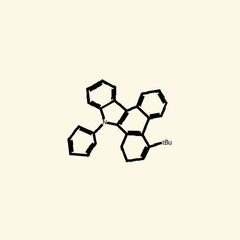 CC(C)(C)C1=CCCc2c1c1ccccc1c1c3ccccc3n(-c3ccccc3)c21